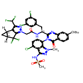 CC(C)COc1ccc2c(=O)n(-c3ccc(Cl)c4c(NS(C)(=O)=O)nn(C)c34)c([C@H](Cc3cc(F)cc(F)c3)NC(=O)Cn3nc(C(F)F)c4c3C(F)(F)[C@@H]3C[C@H]43)nc2c1